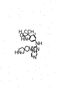 CC1(C)C(=O)Nc2cc(NC3=N[N+]4(N5CCC6(CCNC6)C5)C=CN=CC4=N3)ccc21